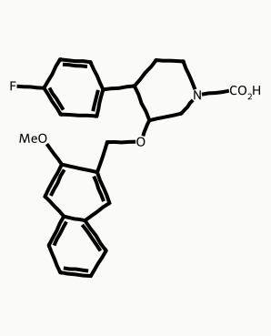 COc1cc2ccccc2cc1COC1CN(C(=O)O)CCC1c1ccc(F)cc1